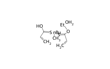 C=CC(=S)OCC.C=CC(O)=S.CCCCC.O